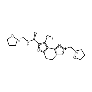 Cc1c(C(=O)NC[C@@H]2CCCO2)oc2c1-c1nn(C[C@H]3CCCO3)cc1CC2